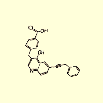 O=C(O)c1ccc(Cc2cnc3ccc(C#CCc4ccccc4)cc3c2O)cc1